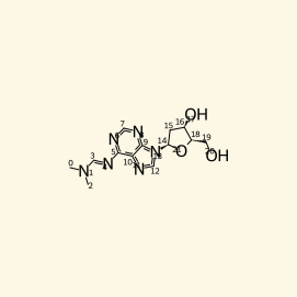 CN(C)/C=N/c1ncnc2c1ncn2[C@H]1C[C@@H](O)[C@@H](CO)O1